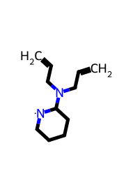 C=CCN(CC=C)C1CCCC[N]1